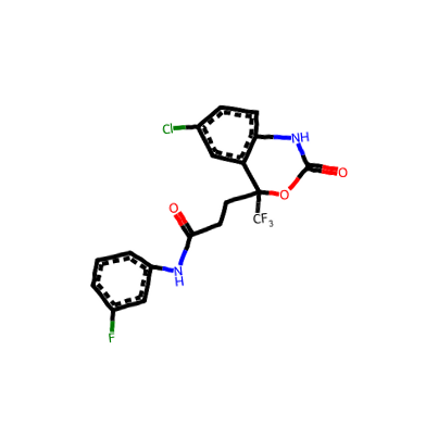 O=C(CCC1(C(F)(F)F)OC(=O)Nc2ccc(Cl)cc21)Nc1cccc(F)c1